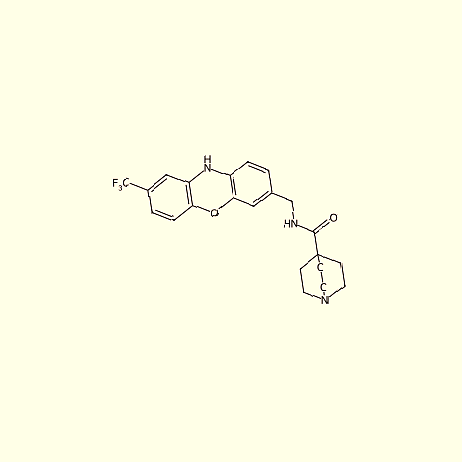 O=C(NCc1ccc2c(c1)Oc1ccc(C(F)(F)F)cc1N2)C12CCN(CC1)CC2